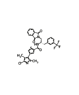 Cc1c(Cl)nn(C)c1-c1csc(C(=O)N[C@@H](Cc2cccc(C(F)(F)F)c2)CN2C(=O)c3ccccc3C2=O)c1